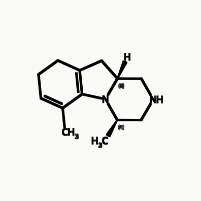 CC1=CCCC2=C1N1[C@@H](CNC[C@H]1C)C2